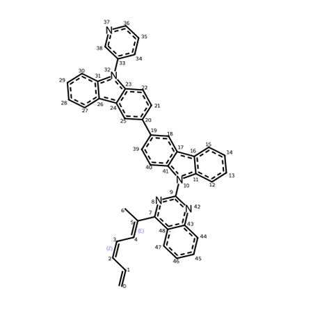 C=C/C=C\C=C(/C)c1nc(-n2c3ccccc3c3cc(-c4ccc5c(c4)c4ccccc4n5-c4cccnc4)ccc32)nc2ccccc12